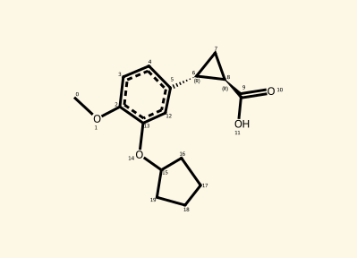 COc1ccc([C@@H]2C[C@H]2C(=O)O)cc1OC1CCCC1